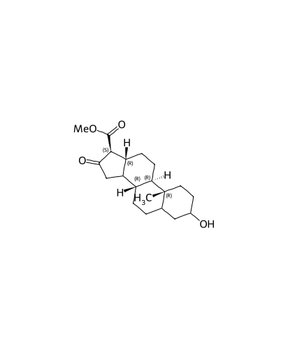 COC(=O)[C@@H]1C(=O)CC2[C@H]1CC[C@@H]1[C@@H]2CCC2CC(O)CC[C@]21C